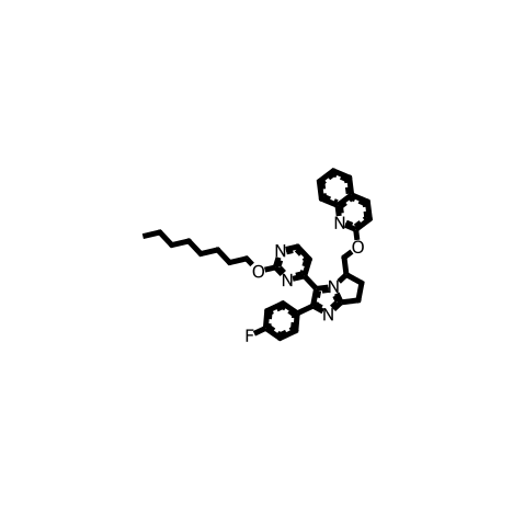 CCCCCCCCOc1nccc(-c2c(-c3ccc(F)cc3)nc3n2C(COc2ccc4ccccc4n2)CC3)n1